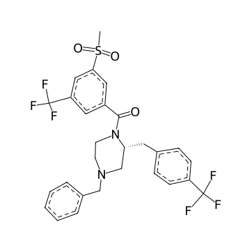 CS(=O)(=O)c1cc(C(=O)N2CCN(Cc3ccccc3)C[C@H]2Cc2ccc(C(F)(F)F)cc2)cc(C(F)(F)F)c1